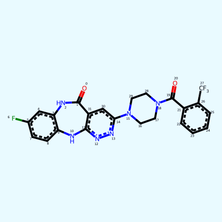 O=C1Nc2cc(F)ccc2Nc2nnc(N3CCN(C(=O)c4ccccc4C(F)(F)F)CC3)cc21